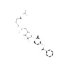 CC(C)OC(=O)[C@H](C)CCOP1(=O)OC[C@H]2O[C@@H](n3ccc(NC(=O)c4ccccc4)nc3=O)C(F)(F)[C@@H]2O1